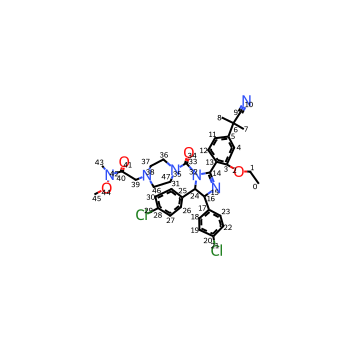 CCOc1cc(C(C)(C)C#N)ccc1C1=NC(c2ccc(Cl)cc2)C(c2ccc(Cl)cc2)N1C(=O)N1CCN(CC(=O)N(C)OC)CC1